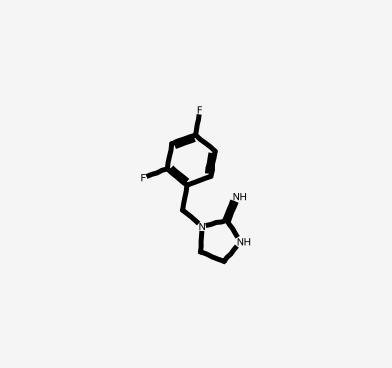 N=C1NCCN1Cc1ccc(F)cc1F